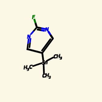 [CH3][Sn]([CH3])([CH3])[c]1cnc(F)nc1